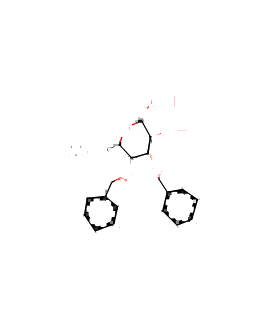 CO[C@H]1O[C@H](CO)[C@@H](O)[C@@H](OCc2ccccc2)[C@@H]1OCc1ccccc1